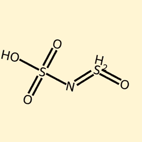 O=[SH2]=NS(=O)(=O)O